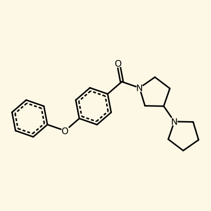 O=C(c1ccc(Oc2ccccc2)cc1)N1CCC(N2CCCC2)C1